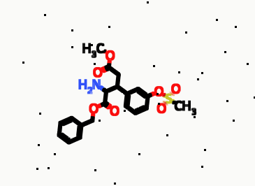 COC(=O)CC(c1cccc(OS(C)(=O)=O)c1)C(N)C(=O)OCc1ccccc1